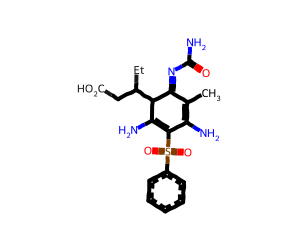 CCC(CC(=O)O)C1C(=NC(N)=O)C(C)=C(N)C(S(=O)(=O)c2ccccc2)=C1N